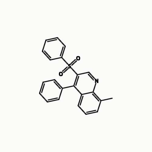 Cc1cccc2c(-c3ccccc3)c(S(=O)(=O)c3ccccc3)cnc12